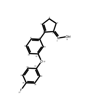 ON=C1CCC=C1c1cccc(Oc2ccc(F)cc2)c1